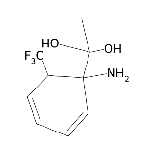 CC(O)(O)C1(N)C=CC=CC1C(F)(F)F